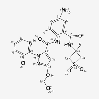 Cc1cc(N)cc(C(=O)NC2(C)CS(=O)(=O)C2)c1NC(=O)c1cc(OCC(F)(F)F)nn1-c1ncccc1Cl